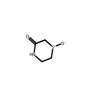 O=C1C[S+]([O-])CCN1